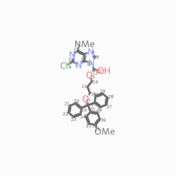 CNc1nc(Cl)nc2c1ncn2C(O)OCCCOC(c1ccccc1)(c1ccccc1)c1ccc(OC)cc1